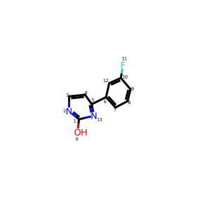 Oc1nccc(-c2cccc(F)c2)n1